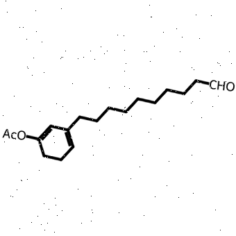 CC(=O)OC1=CC(CCCCCCCCCC=O)=CCC1